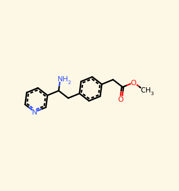 COC(=O)Cc1ccc(CC(N)c2cccnc2)cc1